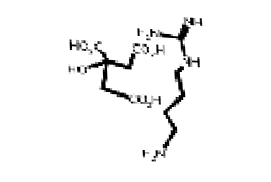 N=C(N)NCCCCN.O=C(O)CC(O)(CC(=O)O)C(=O)O